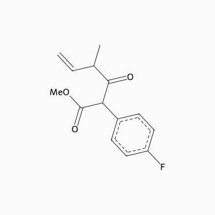 C=CC(C)C(=O)C(C(=O)OC)c1ccc(F)cc1